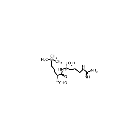 C[Si](C)(C)CCCC(OC=O)C(=O)N[C@@H](CCCNC(=N)N)C(=O)O